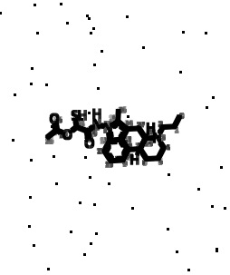 CCCN1CCC[C@@H]2c3cccc4c3c(c(C)n4NC(=O)C(S)OC(C)=O)C[C@H]21